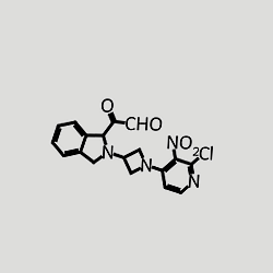 O=CC(=O)C1c2ccccc2CN1C1CN(c2ccnc(Cl)c2[N+](=O)[O-])C1